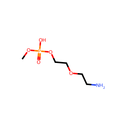 COP(=O)(O)OCCOCCN